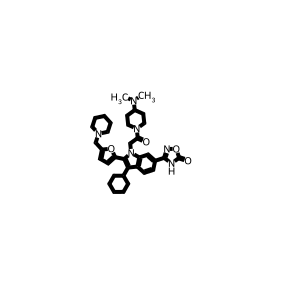 CN(C)C1CCN(C(=O)Cn2c(-c3ccc(CN4CCCCC4)o3)c(C3CCCCC3)c3ccc(-c4noc(=O)[nH]4)cc32)CC1